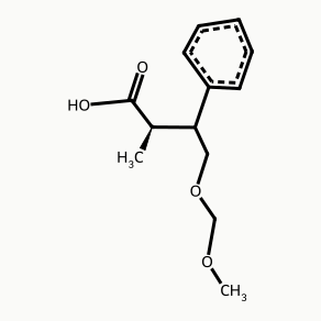 COCOCC(c1ccccc1)[C@@H](C)C(=O)O